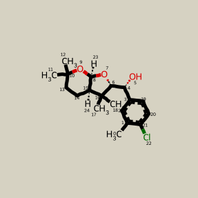 Cc1cc([C@@H](O)[C@H]2O[C@@H]3OC(C)(C)CC[C@@H]3C2(C)C)ccc1Cl